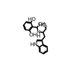 CC(NC(CO)Cc1c[nH]c2ccccc12)c1c(O)cccc1O